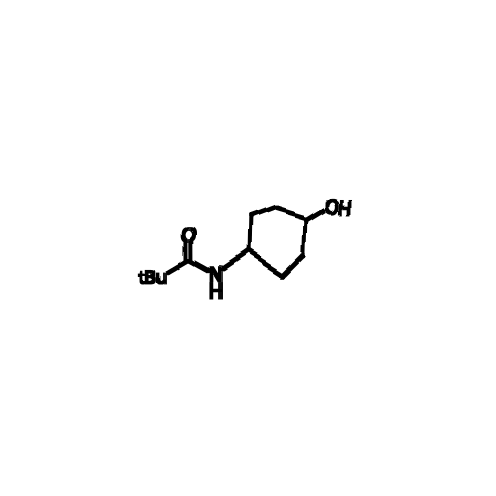 CC(C)(C)C(=O)NC1CCC(O)CC1